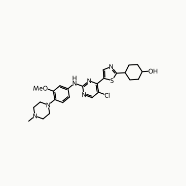 COc1cc(Nc2ncc(Cl)c(-c3cnc(C4CCC(O)CC4)s3)n2)ccc1N1CCN(C)CC1